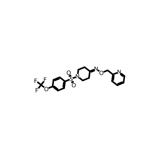 O=S(=O)(c1ccc(OC(F)(F)F)cc1)N1CCC(=NOCc2ccccn2)CC1